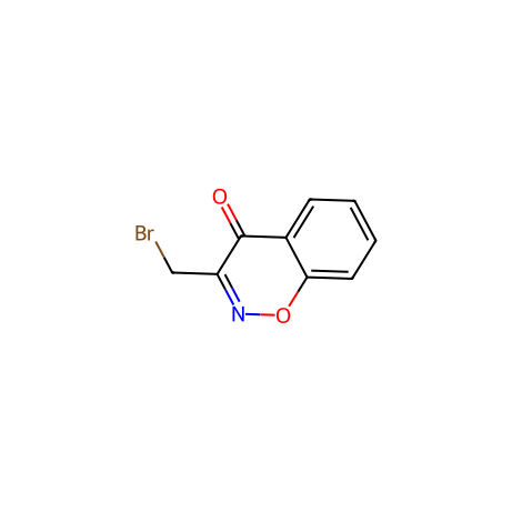 O=c1c(CBr)noc2ccccc12